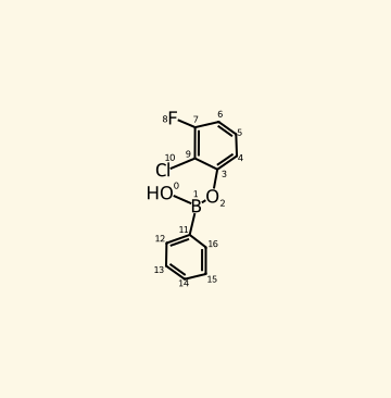 OB(Oc1cccc(F)c1Cl)c1ccccc1